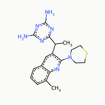 Cc1cccc2cc(C(C)c3nc(N)nc(N)n3)c(N3CCSCC3)nc12